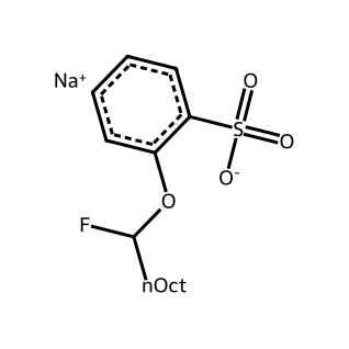 CCCCCCCCC(F)Oc1ccccc1S(=O)(=O)[O-].[Na+]